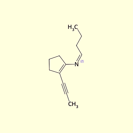 CC#CC1=C(/N=C\CCC)CCC1